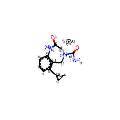 CC[C@H](C)[C@H]1C(=O)Nc2cccc(C3CC3)c2CN1C(N)=O